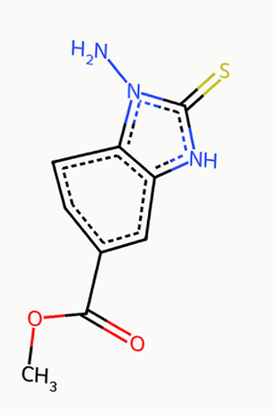 COC(=O)c1ccc2c(c1)[nH]c(=S)n2N